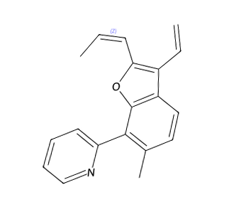 C=Cc1c(/C=C\C)oc2c(-c3ccccn3)c(C)ccc12